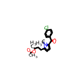 CC(=O)OC(C)CCc1ccc(C(=O)c2ccc(Cl)cc2)n1C